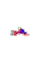 CC(C)(C)OC(=O)c1cc2cc(NC(=O)C(Cc3ccc(NC(=O)N4CCC[C@H]4CO)cc3)N3CCN(c4cc(Cl)ccc4-n4cnnn4)C(=O)C3=O)ccc2n1C(=O)OC(C)(C)C